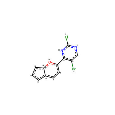 Clc1ncc(Br)c(-c2ccc3cccc-3o2)n1